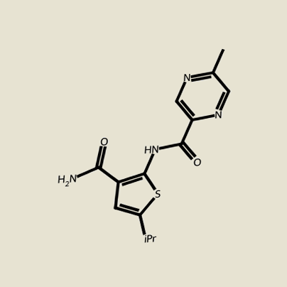 Cc1cnc(C(=O)Nc2sc(C(C)C)cc2C(N)=O)cn1